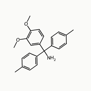 COc1ccc(C(N)(c2ccc(C)cc2)c2ccc(C)cc2)cc1OC